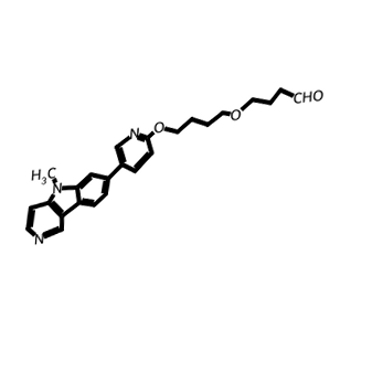 Cn1c2ccncc2c2ccc(-c3ccc(OCCCCOCCCC=O)nc3)cc21